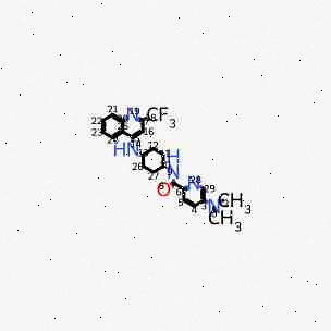 CN(C)c1ccc(C(=O)N[C@H]2CC[C@@H](Nc3cc(C(F)(F)F)nc4ccccc34)CC2)nc1